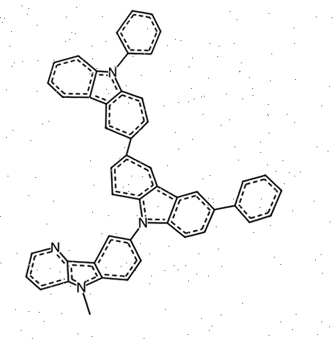 Cn1c2ccc(-n3c4ccc(-c5ccccc5)cc4c4cc(-c5ccc6c(c5)c5ccccc5n6-c5ccccc5)ccc43)cc2c2ncccc21